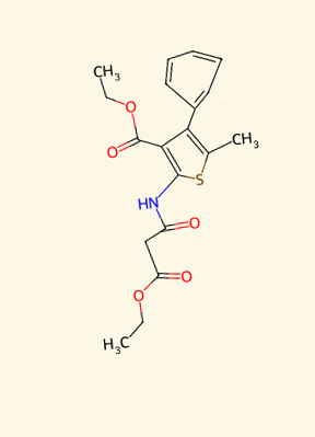 CCOC(=O)CC(=O)Nc1sc(C)c(-c2ccccc2)c1C(=O)OCC